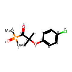 COP(=O)(OC)C(=O)C(C)(C)Oc1ccc(Cl)cc1